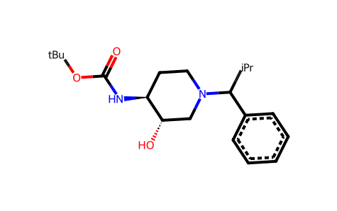 CC(C)C(c1ccccc1)N1CC[C@H](NC(=O)OC(C)(C)C)[C@@H](O)C1